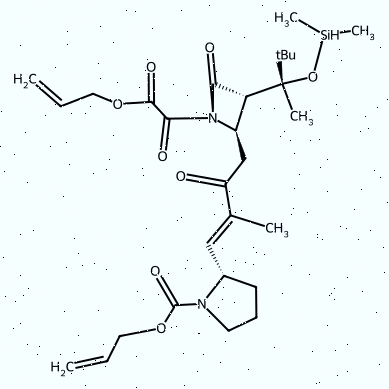 C=CCOC(=O)C(=O)N1C(=O)[C@H]([C@@](C)(O[SiH](C)C)C(C)(C)C)[C@H]1CC(=O)/C(C)=C/[C@@H]1CCCN1C(=O)OCC=C